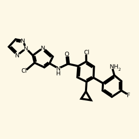 Nc1cc(F)ccc1-c1cc(Cl)c(C(=O)Nc2cnc(-n3nccn3)c(Cl)c2)cc1C1CC1